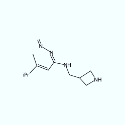 C=N/N=C(\C=C(/C)C(C)C)NCC1CNC1